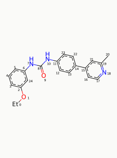 CCOc1cccc(NC(=O)Nc2ccc(-c3ccnc(C)c3)cc2)c1